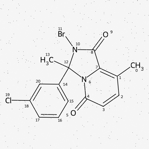 Cc1ccc(=O)n2c1C(=O)N(Br)C2(C)c1cccc(Cl)c1